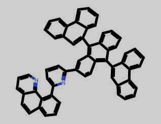 c1cc(-c2ccc3c(-c4cc5ccccc5c5ccccc45)c4ccccc4c(-c4cc5ccccc5c5ccccc45)c3c2)nc(-c2cccc3ccc4cccnc4c23)c1